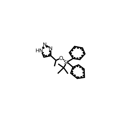 CC(O[Si](c1ccccc1)(c1ccccc1)C(C)(C)C)c1c[nH]nn1